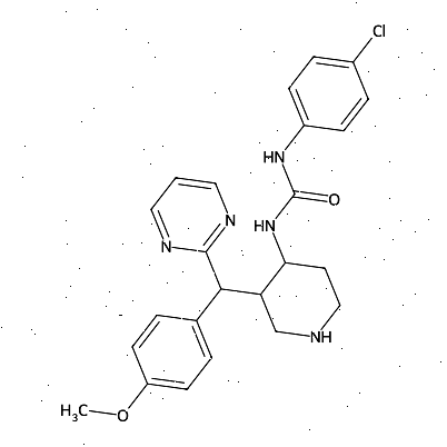 COc1ccc(C(c2ncccn2)C2CNCCC2NC(=O)Nc2ccc(Cl)cc2)cc1